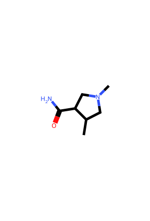 CC1CN(C)CC1C(N)=O